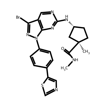 CNC(=O)[C@]1(C)CC[C@@H](Nc2ncc3c(Br)nn(-c4ccc(-c5cncs5)cc4)c3n2)C1